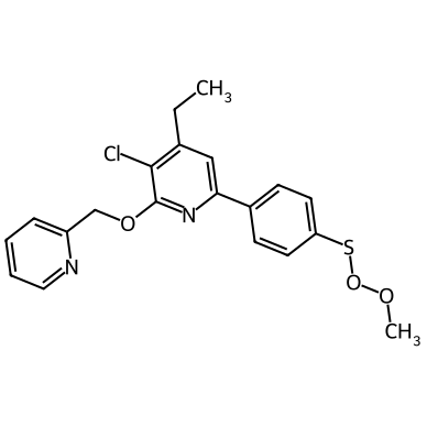 CCc1cc(-c2ccc(SOOC)cc2)nc(OCc2ccccn2)c1Cl